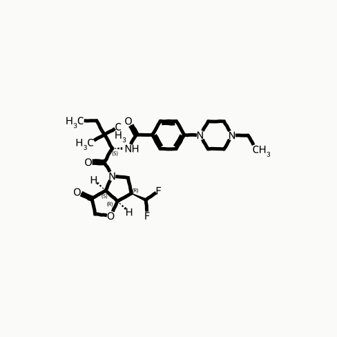 CCN1CCN(c2ccc(C(=O)N[C@H](C(=O)N3C[C@@H](C(F)F)[C@H]4OCC(=O)[C@H]43)C(C)(C)CC)cc2)CC1